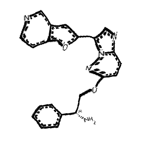 N[C@@H](COc1ccc2ncc(-c3cc4cnccc4o3)n2n1)c1ccccc1